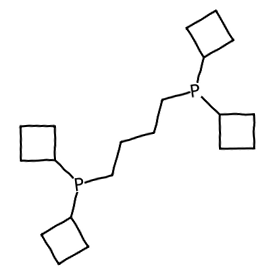 C1CC(P(CCCCP(C2CCC2)C2CCC2)C2CCC2)C1